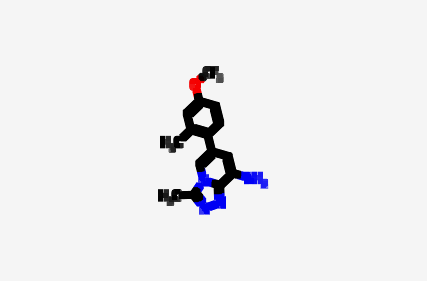 Cc1cc(OC(F)(F)F)ccc1-c1cc(N)c2nnc(C)n2c1